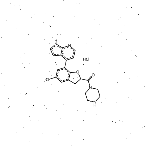 Cl.O=C(C1Cc2cc(Cl)cc(-c3ccnc4[nH]ccc34)c2O1)N1CCNCC1